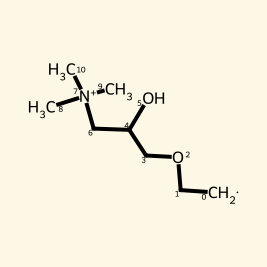 [CH2]COCC(O)C[N+](C)(C)C